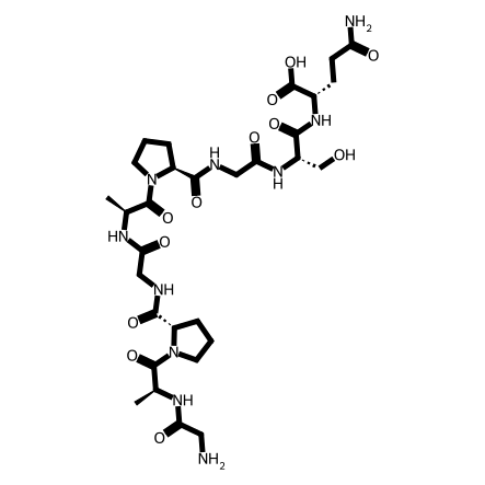 C[C@H](NC(=O)CN)C(=O)N1CCC[C@H]1C(=O)NCC(=O)N[C@@H](C)C(=O)N1CCC[C@H]1C(=O)NCC(=O)N[C@@H](CO)C(=O)N[C@@H](CCC(N)=O)C(=O)O